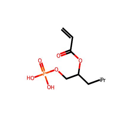 C=CC(=O)OC(COP(=O)(O)O)CC(C)C